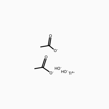 CC(=O)[O-].CC(=O)[O-].[OH-].[OH-].[Ti+4]